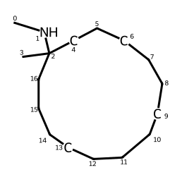 CNC1(C)CCCCCCCCCCCCC1